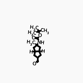 CC(C)(C)OC(=O)N[C@]1(C)C[C@H]2CC(C=O)C[C@H]2C1